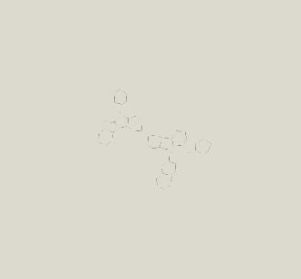 Cn1c2ccccc2c2c3cc(-c4ccc5c(c4)c4ccc6c(c4n5-c4ccc5ccccc5c4)C(C)(C)c4ccccc4-6)ccc3n(-c3ccccc3)c21